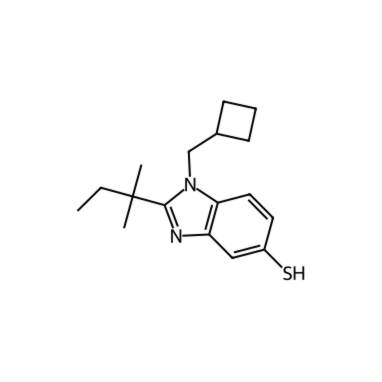 CCC(C)(C)c1nc2cc(S)ccc2n1CC1CCC1